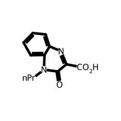 CCCn1c(=O)c(C(=O)O)nc2ccccc21